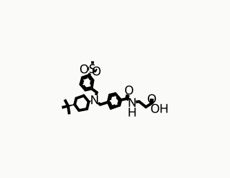 CC(C)(C)[C@H]1CC[C@H](N(Cc2ccc(C(=O)NCCC(=O)O)cc2)Cc2cccc(S(C)(=O)=O)c2)CC1